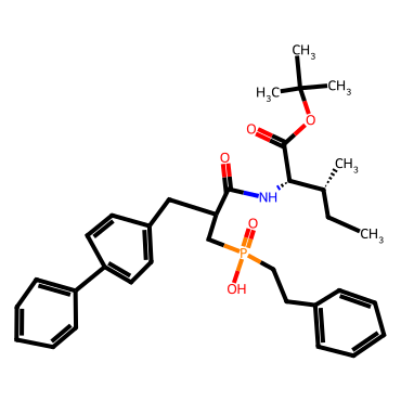 CC[C@@H](C)[C@H](NC(=O)C(Cc1ccc(-c2ccccc2)cc1)CP(=O)(O)CCc1ccccc1)C(=O)OC(C)(C)C